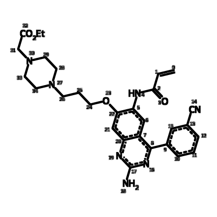 C=CC(=O)Nc1cc2c(-c3cccc(C#N)c3)nc(N)nc2cc1OCCCN1CCN(CC(=O)OCC)CC1